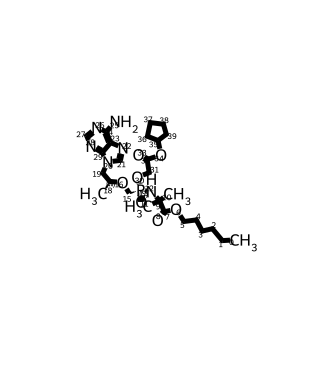 CCCCCCOC(=O)C(C)(C)N[P@](=O)(CO[C@H](C)Cn1cnc2c(N)ncnc21)OCC(=O)OC1CCCC1